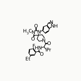 CCc1ccc(F)c(C(=O)NC(C(=O)N2CCC3(CC2)C(=O)N(C)C(=O)N3c2ccc3[nH]ncc3c2)C(C)C)c1